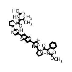 COC(=O)N[C@@H](C(=O)N1CCCC1c1nc(-c2cc3sc(-c4cnc([C@@H]5CCCN5C(=O)[C@@H](NC(=O)O)C(C)C)[nH]4)cc3s2)c[nH]1)c1ccccc1